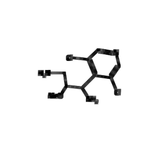 COC(CN)C(N)c1c(Cl)cncc1Cl